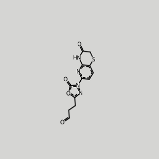 O=CCCc1nn(-c2ccc3c(n2)NC(=O)CS3)c(=O)o1